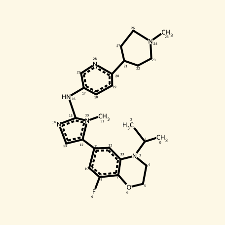 CC(C)N1CCOc2c(F)cc(-c3cnc(Nc4ccc(C5CCN(C)CC5)nc4)n3C)cc21